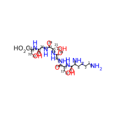 NCCCC[C@H](N)C(=O)N[C@@H](CO)C(=O)NCC(=O)N[C@@H](CO)C(=O)NCC(=O)N[C@@H](CO)C(=O)O